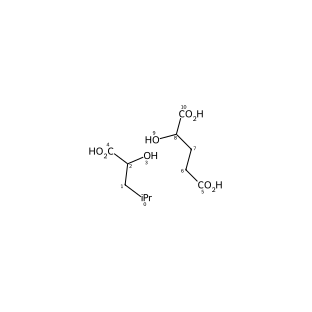 CC(C)CC(O)C(=O)O.O=C(O)CCC(O)C(=O)O